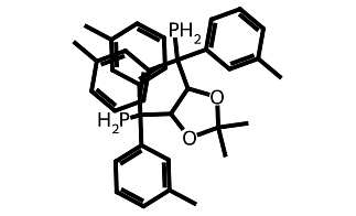 Cc1cccc(C(P)(c2cccc(C)c2)C2OC(C)(C)OC2C(P)(c2cccc(C)c2)c2cccc(C)c2)c1